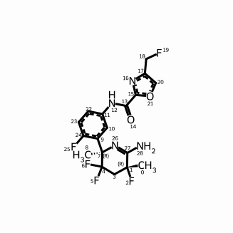 C[C@@]1(F)CC(F)(F)[C@@](C)(c2cc(NC(=O)c3nc(CF)co3)ccc2F)N=C1N